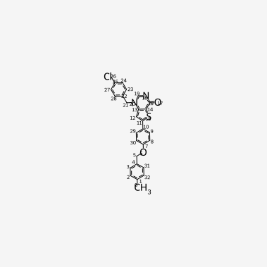 Cc1ccc(COc2ccc(-c3cc4c(s3)c(=O)ncn4Cc3ccc(Cl)cc3)cc2)cc1